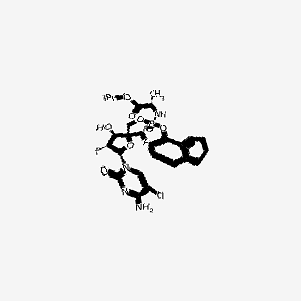 CC(C)OC(=O)[C@H](C)N[P@](=O)(OC[C@@]1(C(F)F)O[C@@H](n2cc(Cl)c(N)nc2=O)[C@H](F)[C@H]1O)Oc1cccc2ccccc12